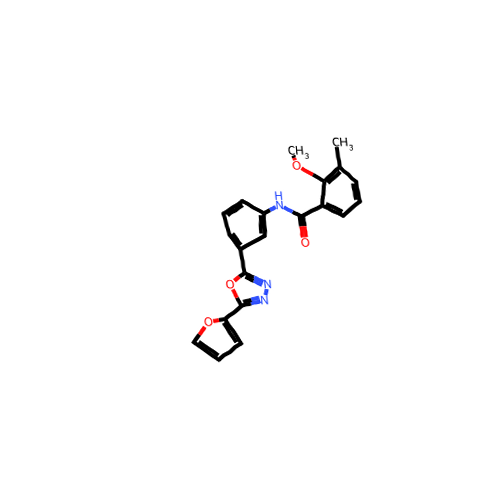 COc1c(C)cccc1C(=O)Nc1cccc(-c2nnc(-c3ccco3)o2)c1